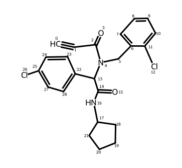 C#CC(=O)N(Cc1ccccc1Cl)C(C(=O)NC1CCCC1)c1ccc(Cl)cc1